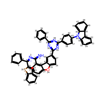 N=C(/N=C(/c1ccccc1)c1cc2ccccc2s1)c1cccc2oc3ccc(-c4nc(-c5ccccc5)nc(-c5ccc(-n6c7ccccc7c7ccccc76)cc5)n4)cc3c12